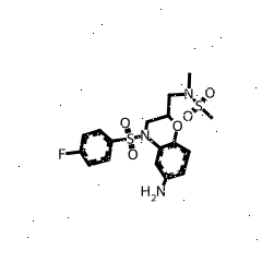 CN(CC1CN(S(=O)(=O)c2ccc(F)cc2)c2cc(N)ccc2O1)S(C)(=O)=O